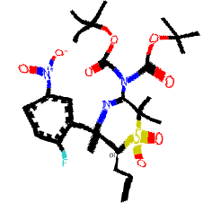 C=CC[C@H]1C(C)(c2cc([N+](=O)[O-])ccc2F)N=C(N(C(=O)OC(C)(C)C)C(=O)OC(C)(C)C)C(C)(C)S1(=O)=O